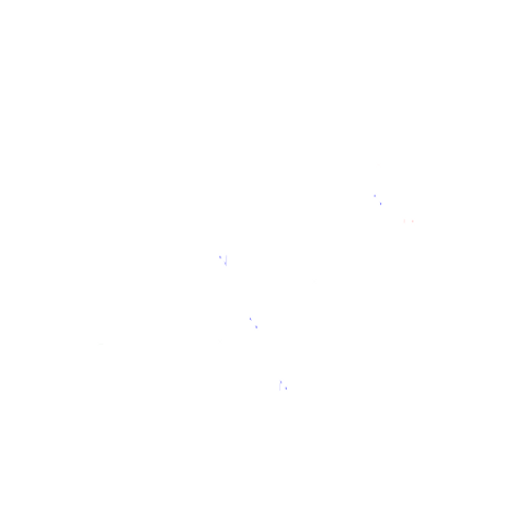 CN(C)C=NC(=Nc1ccc(F)cc1Cl)c1ccc([N+](=O)[O-])cc1